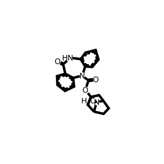 CN1C2CCC1CC(OC(=O)N1c3ccccc3NC(=O)c3ccccc31)C2